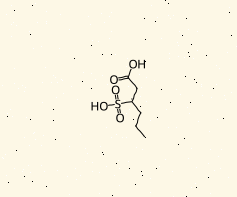 CCC[C](CC(=O)O)S(=O)(=O)O